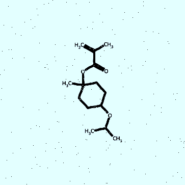 C=C(C)C(=O)OC1(C)CCC(OC(C)C)CC1